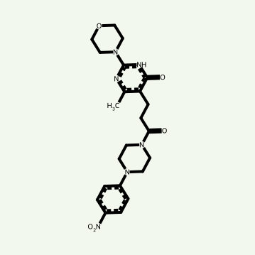 Cc1nc(N2CCOCC2)[nH]c(=O)c1CCC(=O)N1CCN(c2ccc([N+](=O)[O-])cc2)CC1